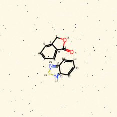 O=C1OCc2ccccc21.c1ccc2nsnc2c1